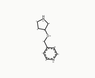 c1cc(COC2CCNC2)ccn1